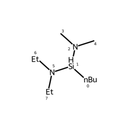 CCCC[SiH](N(C)C)N(CC)CC